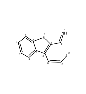 N=Cc1sc2ccccc2c1/C=C\I